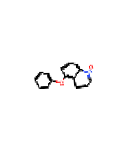 [O-][n+]1cccc2c(Oc3ccccc3)cccc21